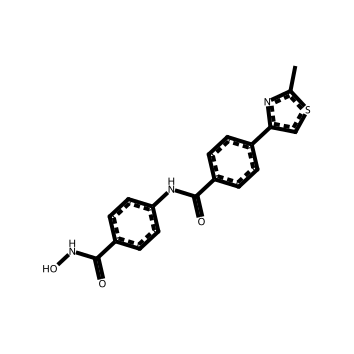 Cc1nc(-c2ccc(C(=O)Nc3ccc(C(=O)NO)cc3)cc2)cs1